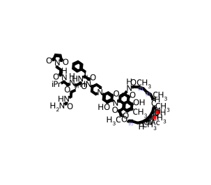 CC(=O)O[C@H]1[C@H](C)[C@H](O)[C@H](C)C[C@@H](C)/C=C/C=C(/C)C(=O)Nc2c3oc4cc(N5CCC(NC(=O)[C@H](Cc6ccccc6)NC(=O)[C@H](CCCNC(N)=O)NC(=O)C(NC(=O)CCN6C(=O)C=CC6=O)C(C)C)CC5)cc(O)c4nc-3c3c4c(c(C)c(O)c3c2=O)O[C@](C)(O/C=C/C[C@H]1C)C4=O